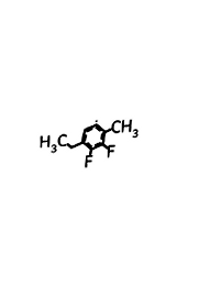 CCc1c[c]c(C)c(F)c1F